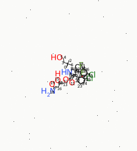 CC(C)(CCO)C[C@H]1N[C@H](C(=O)OC[C@@H](O)CC(N)=O)[C@@H](c2cccc(Cl)c2F)[C@]1(C#N)c1ccc(Cl)cc1F